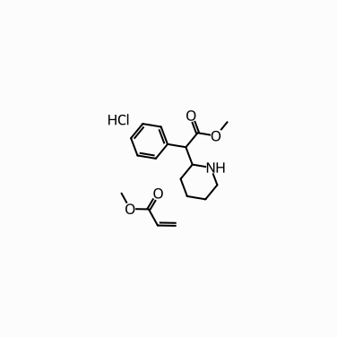 C=CC(=O)OC.COC(=O)C(c1ccccc1)C1CCCCN1.Cl